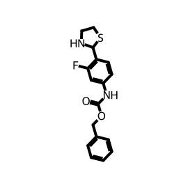 O=C(Nc1ccc(C2NCCS2)c(F)c1)OCc1ccccc1